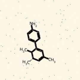 CC1=C[C@H](C)C(C)C(c2ccc(N)cc2)=C1